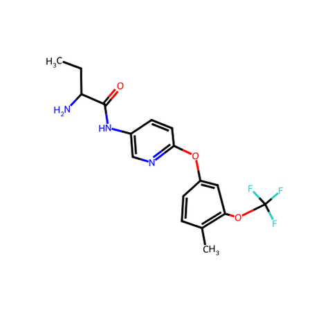 CCC(N)C(=O)Nc1ccc(Oc2ccc(C)c(OC(F)(F)F)c2)nc1